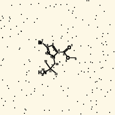 COC(=O)c1cc(Br)nn1CC(C)(C)N